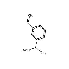 C=Cc1cccc(C(C)OC)c1